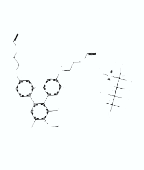 C=COCCOc1ccc(-c2cc(C)c(OC)c(C)c2-c2ccc(OCCOC=C)cc2)cc1.O=S(=O)(O)C(F)(F)C(F)(F)C(F)(F)C(F)(F)F.S